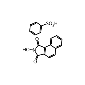 O=C1c2ccc3ccccc3c2C(=O)N1O.O=S(=O)(O)c1ccccc1